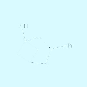 CCCN1CC2CC(C)(C2)C1